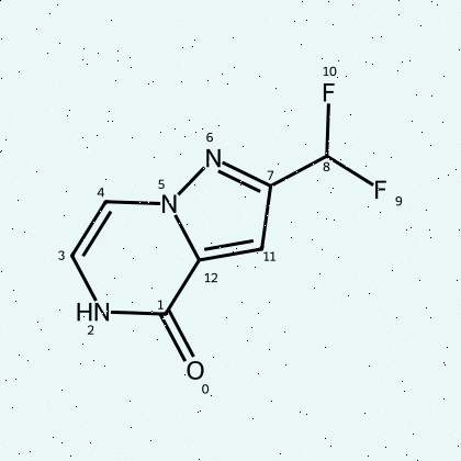 O=c1[nH]ccn2nc(C(F)F)cc12